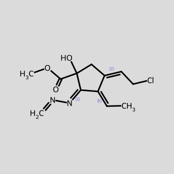 C=N/N=C1C(=C/C)/C(=C\CCl)CC/1(O)C(=O)OC